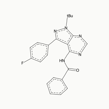 CC(C)(C)n1nc(-c2ccc(F)cc2)c2c(NC(=O)c3ccccc3)ncnc21